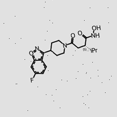 CC(C)[C@H](CC(=O)N1CCC(c2noc3cc(F)ccc23)CC1)C(=O)NO